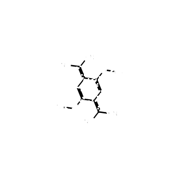 CCCCSc1cc(=C(C#N)C#N)c(SCCCC)cc1=C(C#N)C#N